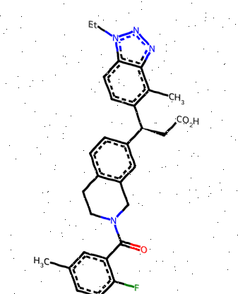 CCn1nnc2c(C)c([C@@H](CC(=O)O)c3ccc4c(c3)CN(C(=O)c3cc(C)ccc3F)CC4)ccc21